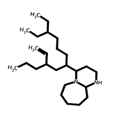 C=CC(CCC)CC(CCCC(CC)CC)C1CCNC2CCCCCN21